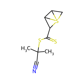 CC(C)(C#N)SC(=S)C1C2C3CS312